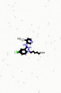 CNCCCCCN1NC(Nc2cnccc2C(=O)O)c2cc(Cl)ccc21